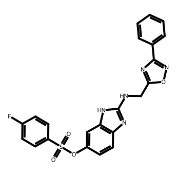 O=S(=O)(Oc1ccc2nc(NCc3nc(-c4ccccc4)no3)[nH]c2c1)c1ccc(F)cc1